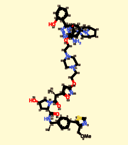 COCc1ncsc1-c1ccc([C@H](C)NC(=O)[C@@H]2C[C@@H](O)CN2C(=O)[C@@H](c2cc(OCCN3CCN(CCOc4cc(N5C6CCC5CN(c5cc(-c7ccccc7O)nnc5N)C6)ccn4)CC3)no2)C(C)C)cc1